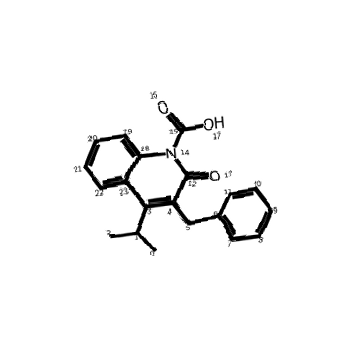 CC(C)c1c(Cc2ccccc2)c(=O)n(C(=O)O)c2ccccc12